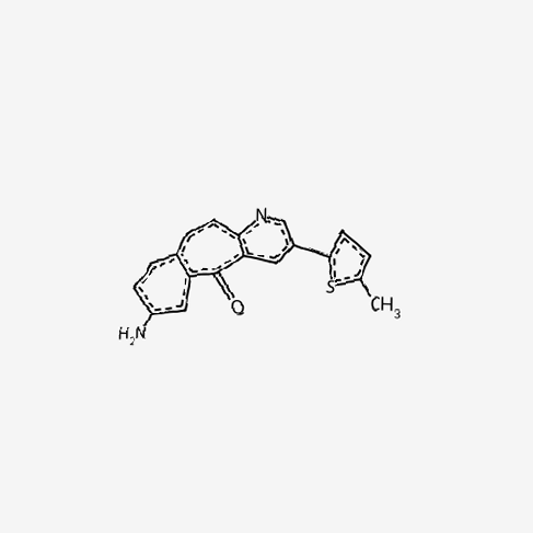 Cc1ccc(-c2cnc3ccc4ccc(N)cc4c(=O)c3c2)s1